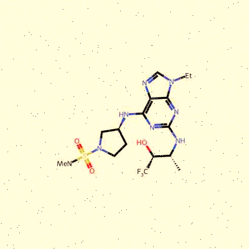 CCn1cnc2c(N[C@H]3CCN(S(=O)(=O)NC)C3)nc(N[C@H](C)[C@H](O)C(F)(F)F)nc21